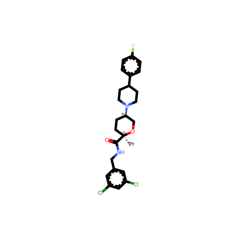 CC(C)[C@]1(C(=O)NCc2cc(Cl)cc(Cl)c2)CC[C@@H](N2CCC(c3ccc(F)cc3)CC2)CO1